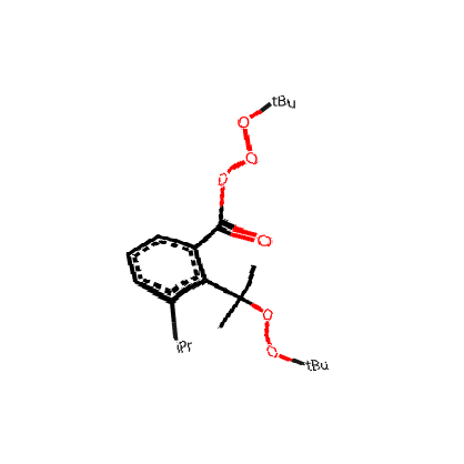 CC(C)c1cccc(C(=O)OOOC(C)(C)C)c1C(C)(C)OOC(C)(C)C